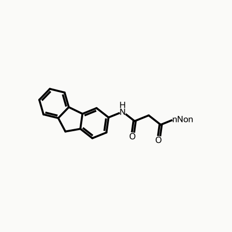 CCCCCCCCCC(=O)CC(=O)Nc1ccc2c(c1)-c1ccccc1C2